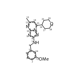 COc1cccc(CNc2nc3nc(C)cc(C4CCOCC4)n3n2)c1